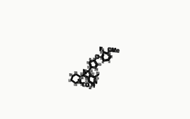 COc1cccc(Oc2ccc(-c3nc([C@@H]4CCCCN4C(=O)O)n4ccnc(C)c34)cc2)c1F